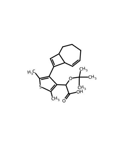 Cc1sc(C)c(C(OC(C)(C)C)C(=O)O)c1C1=CC2CCCC=CC12